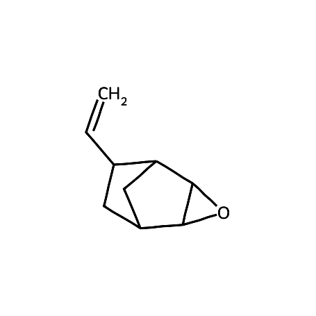 C=CC1CC2CC1C1OC21